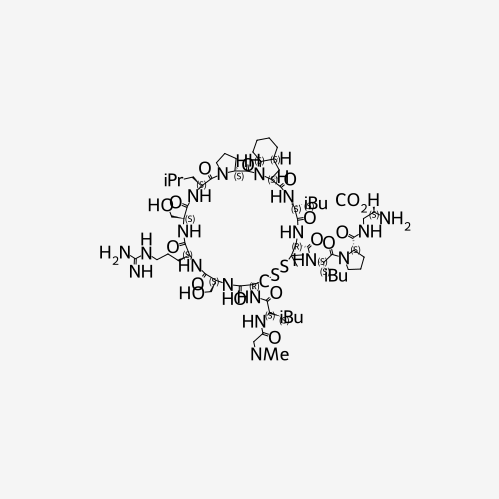 CC[C@H](C)[C@H](NC(=O)CNC)C(=O)N[C@H]1CSSC(C)(C)[C@@H](C(=O)N[C@H](C(=O)N2CCC[C@H]2C(=O)NC[C@H](N)C(=O)O)[C@@H](C)CC)NC(=O)[C@H]([C@@H](C)CC)NC(=O)[C@@H]2C[C@@H]3CCCC[C@@H]3N2C(=O)[C@@H]2CCCN2C(=O)[C@H](CC(C)C)NC(=O)[C@H](CO)NC(=O)[C@H](CCCNC(=N)N)NC(=O)[C@H](CO)NC1=O